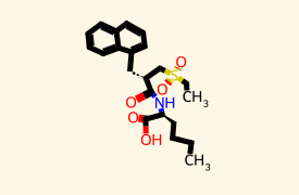 CCCC[C@H](NC(=O)[C@H](Cc1cccc2ccccc12)CS(=O)(=O)CC)C(=O)O